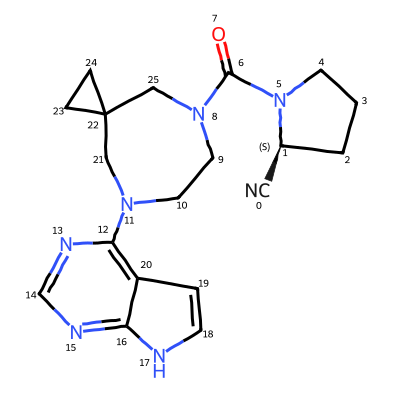 N#C[C@@H]1CCCN1C(=O)N1CCN(c2ncnc3[nH]ccc23)CC2(CC2)C1